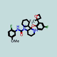 COc1ccc(F)c(NC(=O)NC2CCCNC2(Oc2ccc(F)cc2C2(C(F)(F)F)CCO2)C2CCCCC2)c1